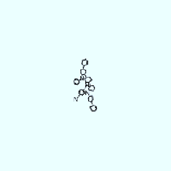 N#Cc1ccc(C#N)c(N(c2ccc(-c3ccccc3)cc2)c2cccc(-c3ccc4c5cc(-c6ccccc6)ccc5n(-c5ccccc5)c4c3)c2)c1